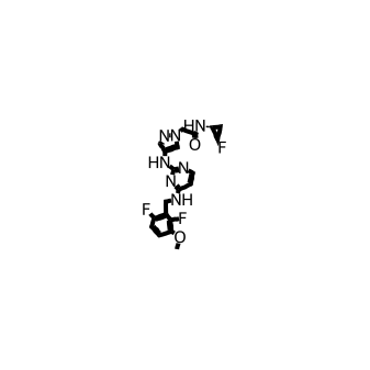 COc1ccc(F)c(CNc2ccnc(Nc3cnn(CC(=O)N[C@@H]4C[C@@H]4F)c3)n2)c1F